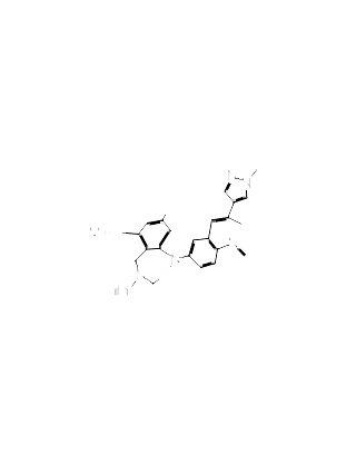 C=Nc1ccc(N2CCN(C(C)C)Cc3c(OC)cc(O)cc32)cc1/C=C(\C)c1cnn(C)c1